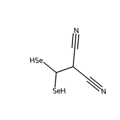 N#CC(C#N)C([SeH])[SeH]